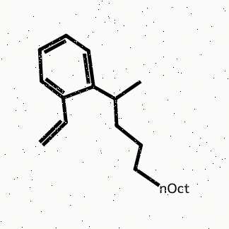 C=Cc1ccccc1C(C)CCCCCCCCCCC